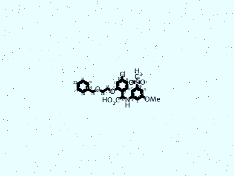 COc1cc(NC(C(=O)O)c2ccc(Cl)cc2OCCOCc2ccccc2)cc(S(C)(=O)=O)c1